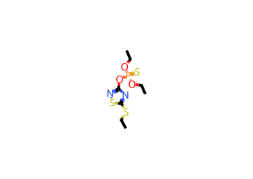 CCOP(=S)(OCC)Oc1nsc(SCC)n1